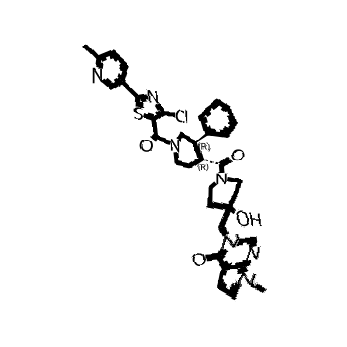 Cc1ccc(-c2nc(Cl)c(C(=O)N3CC[C@@H](C(=O)N4CCC(O)(Cn5cnc6c(ccn6C)c5=O)CC4)[C@H](c4ccccc4)C3)s2)cn1